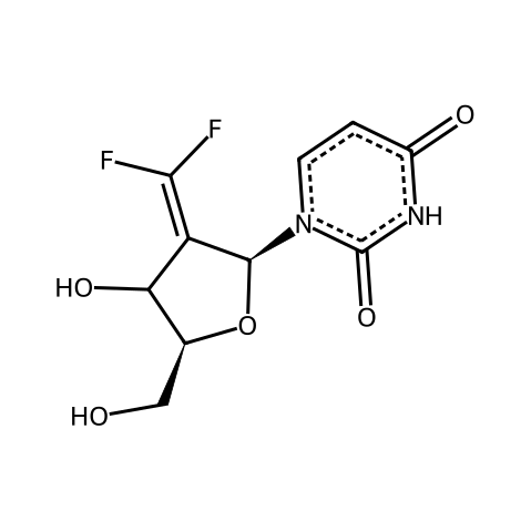 O=c1ccn([C@H]2O[C@@H](CO)C(O)C2=C(F)F)c(=O)[nH]1